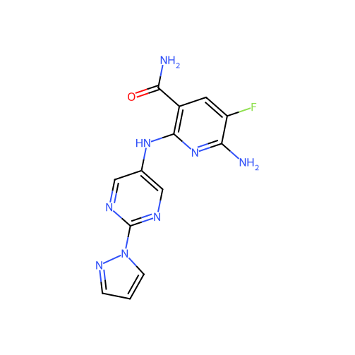 NC(=O)c1cc(F)c(N)nc1Nc1cnc(-n2cccn2)nc1